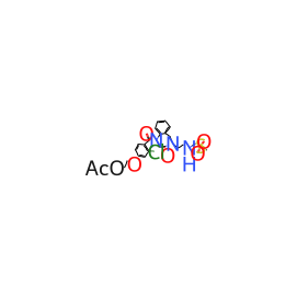 CC(=O)OCCOc1ccc(C(=O)N2CC(=O)N(CCNCS(C)(=O)=O)Cc3ccccc32)c(Cl)c1